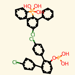 OP(O)(O)(c1ccccc1)c1ccc(Cl)cc1-c1ccccc1.OP(O)Oc1cccc(-c2ccc(Cl)cc2)c1-c1ccc(Cl)cc1